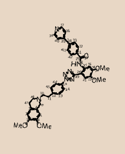 COc1cc2c(cc1OC)CN(CCc1ccc(-n3nnc(-c4cc(OC)c(OC)cc4NC(=O)c4ccc(-c5ccncc5)cc4)n3)cc1)CC2